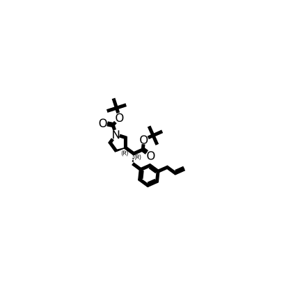 C=CCc1cccc(C[C@@H](C(=O)OC(C)(C)C)[C@H]2CCN(C(=O)OC(C)(C)C)C2)c1